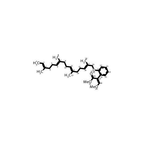 CC=C(C)CCC=C(C)CCC=C(C)CCC=C(C)COc1ccccc1C(=COC)C(=O)OC